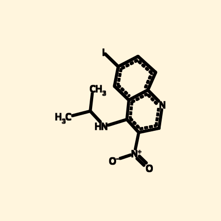 CC(C)Nc1c([N+](=O)[O-])cnc2ccc(I)cc12